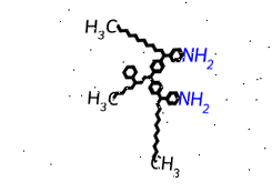 CCCCCCCCCCCCC(c1ccc(N)cc1)c1ccc(C(CCC(CCCCC)C2CCCCC2)c2ccc(C(CCCCCCCCCCCC)c3ccc(N)cc3)cc2)cc1